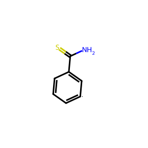 NC(=S)c1c[c]ccc1